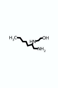 CCCCCC(CN)NCCO